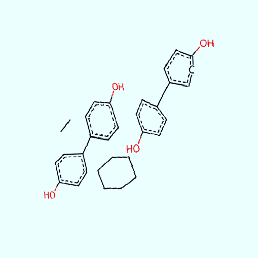 C1CCCCC1.CC.Oc1ccc(-c2ccc(O)cc2)cc1.Oc1ccc(-c2ccc(O)cc2)cc1